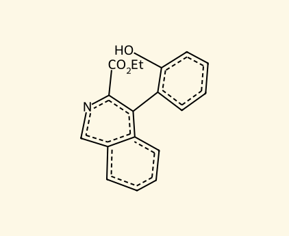 CCOC(=O)c1ncc2ccccc2c1-c1ccccc1O